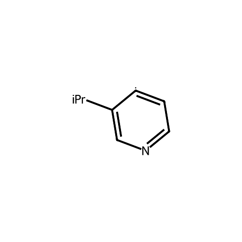 CC(C)c1[c]ccnc1